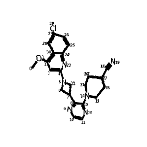 COc1cc(N2CC(c3nccnc3N3CCC(C#N)CC3)C2)nc2ccc(Cl)cc12